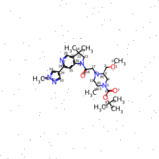 COC[C@H]1CN(C(=O)OC(C)(C)C)[C@H](C)CN1CC(=O)N1CC(C)(C)c2cnc(-c3cnn(C)c3)cc21